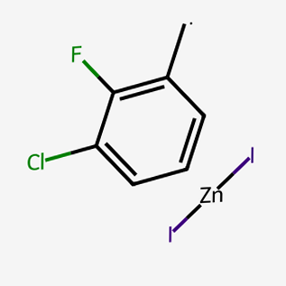 [CH2]c1cccc(Cl)c1F.[I][Zn][I]